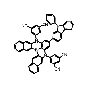 N#Cc1cc(C#N)cc(N2c3cc4ccccc4cc3B3c4cc5ccccc5cc4N(c4cc(C#N)cc(C#N)c4)c4cc(-c5ccc6c7ccccc7n(-c7ccccc7)c6c5)cc2c43)c1